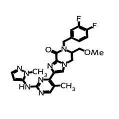 COCC1Cn2cc(-c3nc(Nc4ccnn4C)ncc3C)nc2C(=O)N1Cc1ccc(F)c(F)c1